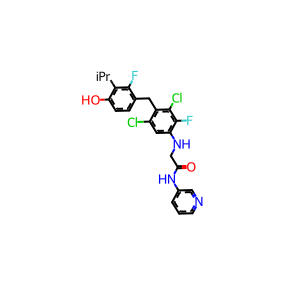 CC(C)c1c(O)ccc(Cc2c(Cl)cc(NCC(=O)Nc3cccnc3)c(F)c2Cl)c1F